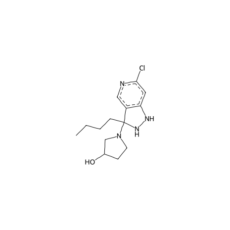 CCCCC1(N2CCC(O)C2)NNc2cc(Cl)ncc21